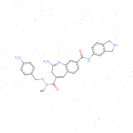 CCCN(OCc1ccc(N)cc1)C(=O)C1=Cc2ccc(C(=O)Nc3ccc4c(c3)CNC4)cc2N=C(N)C1